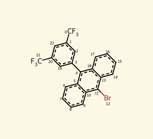 FC(F)(F)c1cc(-c2c3ccccc3c(Br)c3ccccc23)cc(C(F)(F)F)c1